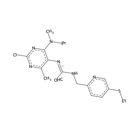 CCSc1ccc(CN/C(C=O)=N/c2c(C)nc(Cl)nc2N(C)C(C)C)nc1